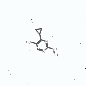 CNc1ncc(N)c(C2CC2)n1